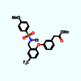 CCN(Cc1cc(C(F)(F)F)ccc1Oc1cccc(CC(=O)OC)c1)S(=O)(=O)c1ccc(OC)cc1